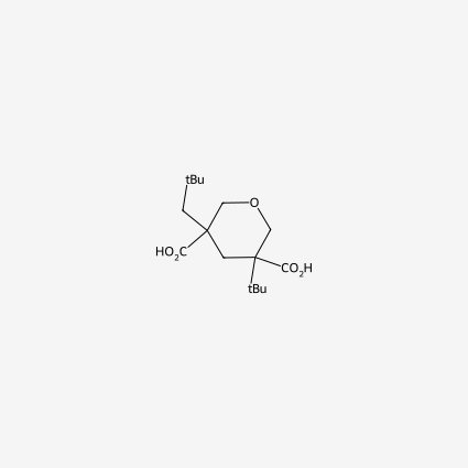 CC(C)(C)CC1(C(=O)O)COCC(C(=O)O)(C(C)(C)C)C1